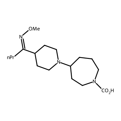 CCC/C(=N/OC)C1CCN(C2CCCN(C(=O)O)CC2)CC1